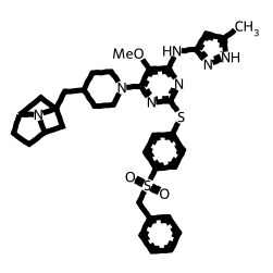 COc1c(Nc2cc(C)[nH]n2)nc(Sc2ccc(S(=O)(=O)Cc3ccccc3)cc2)nc1N1CCC(CC23CC4CCC(C2)N43)CC1